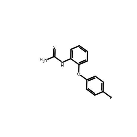 NC(=S)Nc1ccccc1Oc1ccc(F)cc1